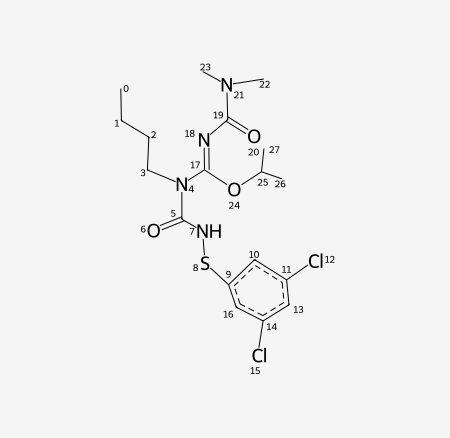 CCCCN(C(=O)NSc1cc(Cl)cc(Cl)c1)C(=NC(=O)N(C)C)OC(C)C